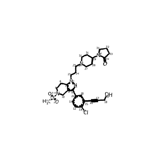 CS(=O)(=O)N1CCc2c(c(-c3ccc(Cl)c(C#CCO)c3)nn2CCCN2CCC(N3CCCC3=O)CC2)C1